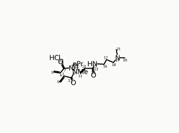 C=CC(=O)NC.C=CC(=O)NCCC.C=CC(=O)NCCCN(C)C.Cl